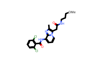 COCCCNC(=O)Cc1c(C)nc2c(NC(=O)c3c(Cl)cccc3Cl)cccn12